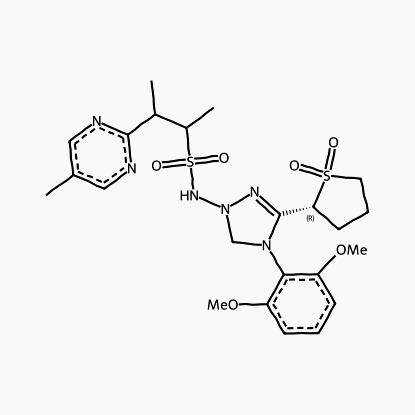 COc1cccc(OC)c1N1CN(NS(=O)(=O)C(C)C(C)c2ncc(C)cn2)N=C1[C@H]1CCCS1(=O)=O